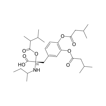 CCC(C)N[C@@](Cc1ccc(OC(=O)CC(C)C)c(OC(=O)CC(C)C)c1)(OC(=O)C(C)C(C)C)C(=O)O